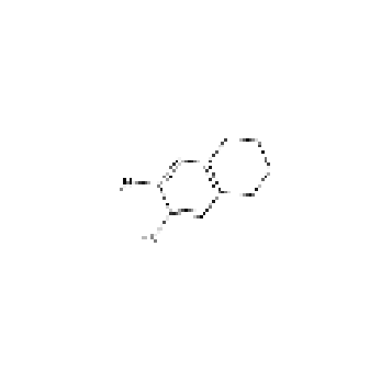 Nc1cc2c(cc1S)CCCC2